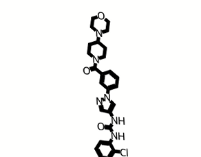 O=C(Nc1cnn(-c2cccc(C(=O)N3CCC(N4CCOCC4)CC3)c2)c1)Nc1ccccc1Cl